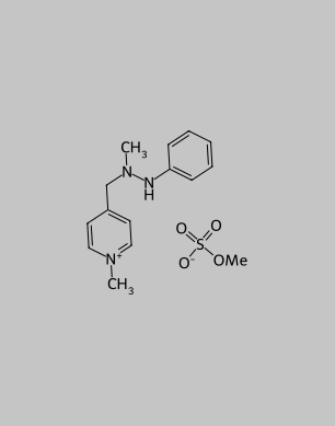 CN(Cc1cc[n+](C)cc1)Nc1ccccc1.COS(=O)(=O)[O-]